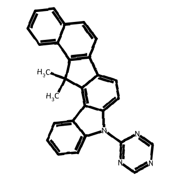 CC1(C)c2c(ccc3ccccc23)-c2ccc3c(c21)c1ccccc1n3-c1ncncn1